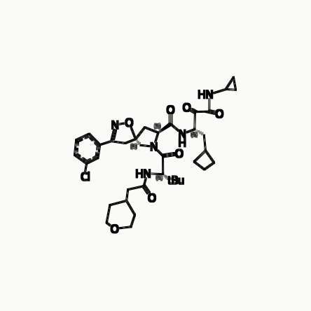 CC(C)(C)[C@H](NC(=O)CC1CCOCC1)C(=O)N1C[C@@]2(CC(c3cccc(Cl)c3)=NO2)C[C@H]1C(=O)N[C@@H](CC1CCC1)C(=O)C(=O)NC1CC1